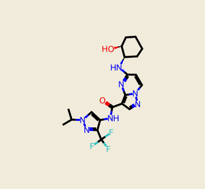 CC(C)n1cc(NC(=O)c2cnn3ccc(N[C@@H]4CCCC[C@@H]4O)nc23)c(C(F)(F)F)n1